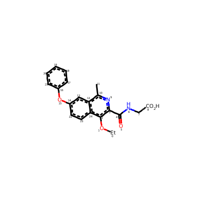 CCOc1c(C(=O)NCC(=O)O)nc(C)c2cc(Oc3ccccc3)ccc12